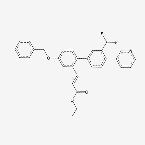 CCOC(=O)/C=C/c1cc(OCc2ccccc2)ccc1-c1ccc(-c2cccnc2)c(C(F)F)c1